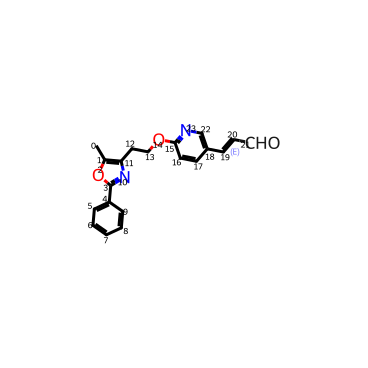 Cc1oc(-c2ccccc2)nc1CCOc1ccc(/C=C/C=O)cn1